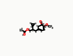 CCC(=O)OCC(CC1=CC=C(OC(F)(F)F)C(=O)C1)C1CC1